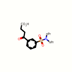 CCCN(CCC)S(=O)(=O)c1cccc(C(=O)CCC(=O)O)c1